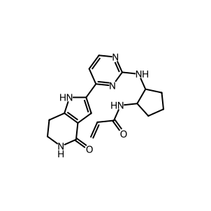 C=CC(=O)NC1CCCC1Nc1nccc(-c2cc3c([nH]2)CCNC3=O)n1